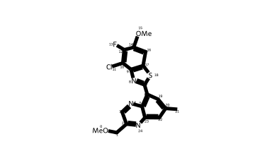 COCc1cnc2c(-c3nc4c(Cl)c(F)c(OC)cc4s3)cc(C)cc2n1